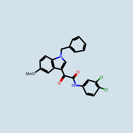 COc1ccc2c(c1)c(C(=O)C(=O)Nc1ccc(Cl)c(Cl)c1)cn2Cc1ccccc1